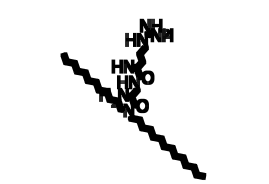 CCCCCCCCCCCCCCN(CCCCCCCCCCCC)C(=O)C(N)CNC(=O)C(=N)CCCNC(=N)N